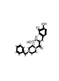 O=C(O)N[C@@H](Cc1ccc(O)c(F)c1)C(=O)N1CCN(Cc2ccccc2)CC1